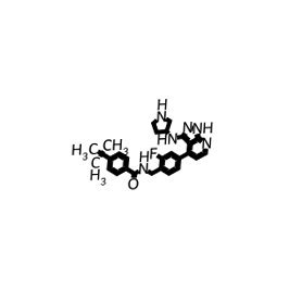 CC(C)(C)c1ccc(C(=O)NCc2ccc(-c3ccnc4[nH]nc(NC5CCNC5)c34)cc2F)cc1